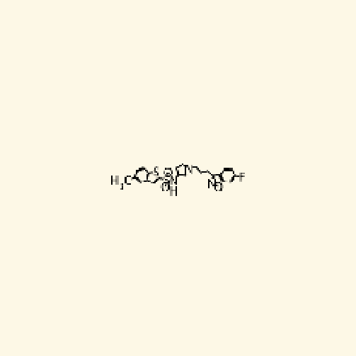 Cc1ccc2sc(S(=O)(=O)NC3CCN(CCCc4noc5cc(F)ccc45)C3)cc2c1